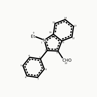 CCn1c(-c2ccccc2)c(C=O)c2ccccc21